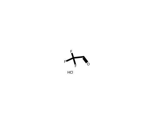 Cl.O=CC(F)(F)F